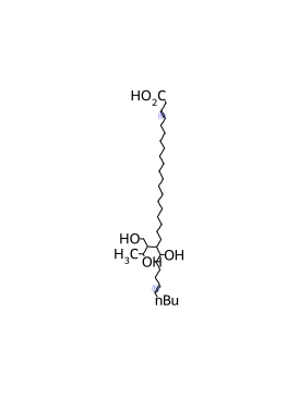 CCCC/C=C/CCCC(O)C(CCCCCCCCCCCCCCCC/C=C/CC(=O)O)C(CO)C(C)O